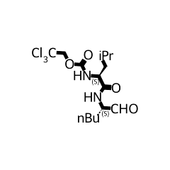 CCCC[C@@H](C=O)NC(=O)[C@H](CC(C)C)NC(=O)OCC(Cl)(Cl)Cl